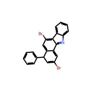 BrC1=CC(c2ccccc2)c2cc(Br)c3c(c2=C1)=Nc1ccccc1-3